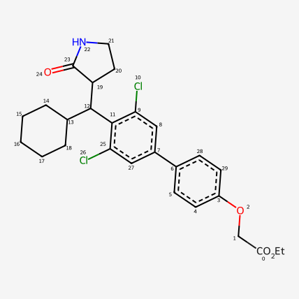 CCOC(=O)COc1ccc(-c2cc(Cl)c(C(C3CCCCC3)C3CCNC3=O)c(Cl)c2)cc1